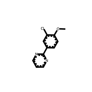 COc1ccc(-c2ncccn2)cc1Cl